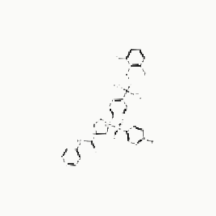 O=C(Nc1ccncc1)[C@H]1CC[C@](c2ccc(C(OCc3c(F)cccc3F)(C(F)(F)F)C(F)(F)F)cc2)(S(=O)(=O)c2ccc(F)cc2)C1